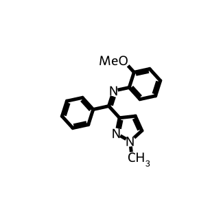 COc1ccccc1N=C(c1ccccc1)c1ccn(C)n1